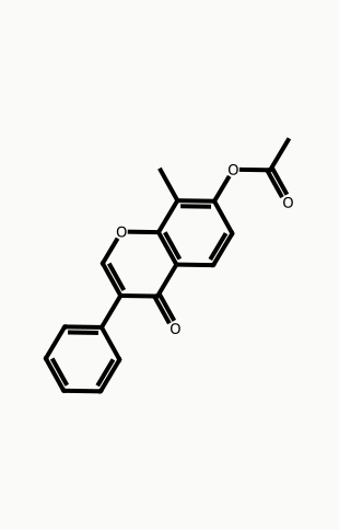 CC(=O)Oc1ccc2c(=O)c(-c3ccccc3)coc2c1C